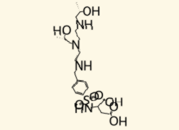 C[C@H](O)CNCCN(CCNCc1ccc(S(=O)(=O)NC(CC(=O)O)C(=O)O)cc1)C[C@H](C)O